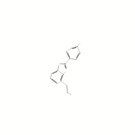 OCCc1cccc2[nH]c(-c3ccc(C(F)(F)F)cc3)nc12